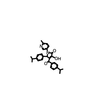 Cc1ccc(N2C(=O)C(O)=C(C(=O)c3ccc(C(C)C)cc3)C2c2ccc(C(C)C)cc2)cn1